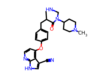 CN1CCC(N2CNCC(Cc3ccc(Oc4ccnc5[nH]cc(C#N)c45)cc3)C2=O)CC1